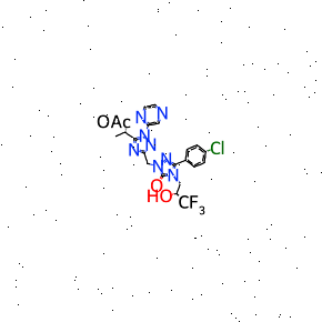 CC(=O)O[C@@H](C)c1nc(Cn2nc(-c3ccc(Cl)cc3)n(C[C@H](O)C(F)(F)F)c2=O)nn1-c1cnccn1